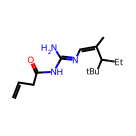 C=CCC(=O)N/C(N)=N/C=C(/C)C(CC)C(C)(C)C